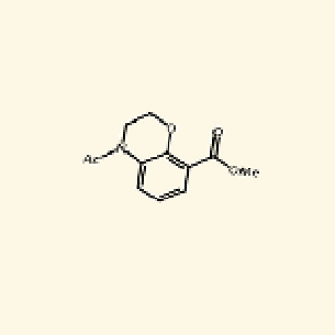 COC(=O)c1cccc2c1OCCN2C(C)=O